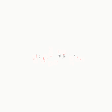 CCC(CCO)[C@H]1CC[C@]2(O)[C@@H]3CC[C@@H]4C[C@@H](O[C@H]5C[C@@H](O)C(O[C@H]6C[C@H]7OC(C)(C)OC7C(C)O6)C(C)O5)CC[C@]4(C)[C@H]3C[C@@H](O)[C@]12C